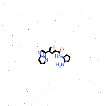 NC1CCCC1NC(=O)c1cc(-c2cnc3cccnn23)cs1